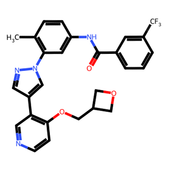 Cc1ccc(NC(=O)c2cccc(C(F)(F)F)c2)cc1-n1cc(-c2cnccc2OCC2COC2)cn1